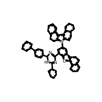 c1ccc(C2=NC(c3cc(-n4c5ccc6ccccc6c5c5c6ccccc6ccc54)cc4c3oc3c5ccccc5ccc43)=NC(c3ccc(-c4ccccc4)cc3)N2)cc1